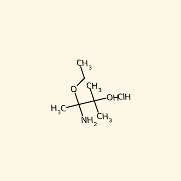 CCOC(C)(N)C(C)(C)O.Cl